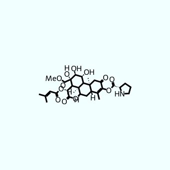 COC(=O)[C@@]1(O)[C@@H](O)[C@H](O)C2[C@@]3(C)[C@@H](C[C@H]4C(C)=C(OC(=O)[C@@H]5CCCN5)C(=O)C[C@]24C)OC(=O)[C@H](OC(=O)C=C(C)C)[C@@H]13